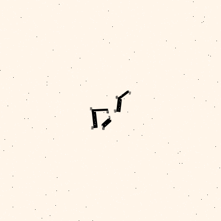 C=C.C=CC.C=CC